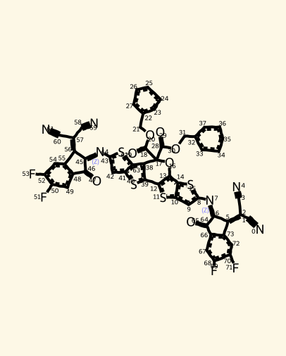 N#CC(C#N)=C1/C(=N/c2cc3sc4c(c3s2)OC(C(=O)OCc2ccccc2)(C(=O)OCc2ccccc2)c2c-4sc3cc(/N=C4\C(=O)c5cc(F)c(F)cc5C4=C(C#N)C#N)sc23)C(=O)c2cc(F)c(F)cc21